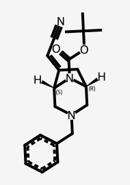 CC(C)(C)OC(=O)N1[C@@H]2CC(=CC#N)[C@H]1CN(Cc1ccccc1)C2